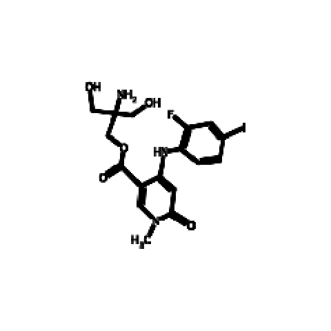 Cn1cc(C(=O)OCC(N)(CO)CO)c(Nc2ccc(I)cc2F)cc1=O